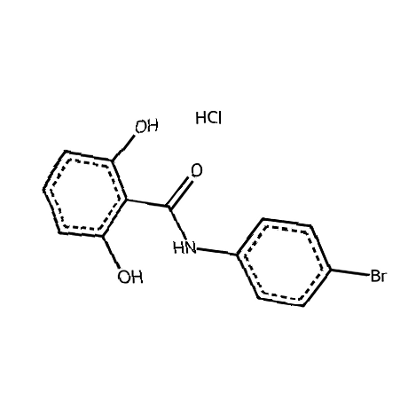 Cl.O=C(Nc1ccc(Br)cc1)c1c(O)cccc1O